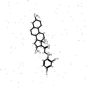 CC1CCC2C(CCC3C2CCC2(C)C3CC(C)C2C(=O)CNc2ccc(F)cc2F)C1